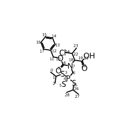 CC(C)SP(=S)(CN(C(=O)OCc1ccccc1)C(C(=O)O)C(C)Cl)SC(C)C